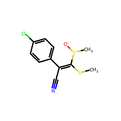 CSC(=C(C#N)c1ccc(Cl)cc1)[S+](C)[O-]